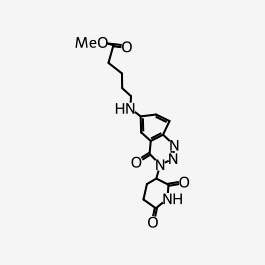 COC(=O)CCCCNc1ccc2nnn(C3CCC(=O)NC3=O)c(=O)c2c1